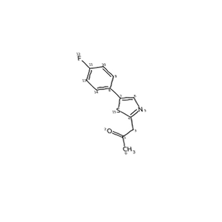 CC(=O)Cc1ncc(-c2ccc(F)cc2)s1